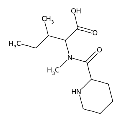 CCC(C)C(C(=O)O)N(C)C(=O)C1CCCCN1